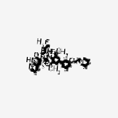 C=CCCCN(C(=O)Nc1c(C(C)C)cc(-c2cccc(OCCN3CCCCC3)c2)cc1C(C)C)c1cc2cccnc2[nH]c1=O